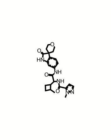 CC1CCC1C(NC(=O)c1ccnn1C)C(=O)Nc1ccc2c(c1)NC(=O)C21CCOCC1